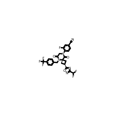 N#Cc1ccc(N2CC(=O)N(Cc3ccc(C(F)(F)F)cc3)[C@]3(C[C@H](c4nc(C(F)F)no4)C3)C2=O)c(F)c1